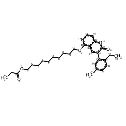 CCC(=O)OCCCCCCCCCCOc1nccc2oc(=O)c(-c3cc(C)ccc3CC)cc12